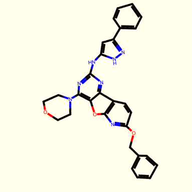 c1ccc(COc2ccc3c(n2)oc2c(N4CCOCC4)nc(Nc4cc(-c5ccccc5)n[nH]4)nc23)cc1